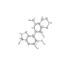 CCc1c(C)cc2c(c1-c1cc(OC)c3c(c1C)CCCO3)CCN2C